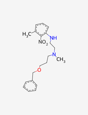 Cc1cccc(NCCN(C)CCCOCc2ccccc2)c1[N+](=O)[O-]